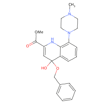 COC(=O)C1=CC(O)(OCc2ccccc2)c2cccc(N3CCN(C)CC3)c2N1